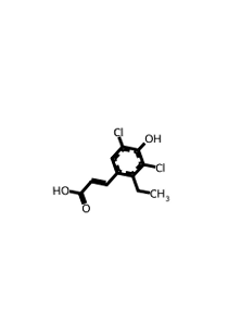 CCc1c(C=CC(=O)O)cc(Cl)c(O)c1Cl